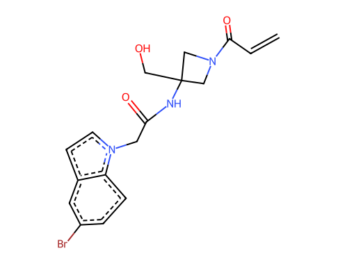 C=CC(=O)N1CC(CO)(NC(=O)Cn2ccc3cc(Br)ccc32)C1